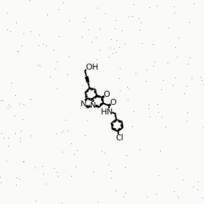 O=C(NCc1ccc(Cl)cc1)c1cn2cnc3cc(C#CCO)cc(c1=O)c32